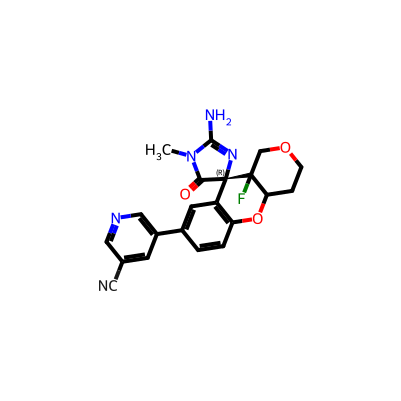 CN1C(=O)[C@]2(N=C1N)c1cc(-c3cncc(C#N)c3)ccc1OC1CCOCC12F